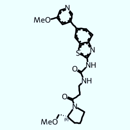 COC[C@H]1CCCN1C(=O)CCNC(=O)Nc1nc2ccc(-c3cncc(OC)c3)cc2s1